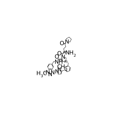 Cn1nccc1-c1cccc(C[C@@H]2C[C@@H](C(=O)NCc3ccc4c(c3)nnn4C)N(C(=O)[C@H](N)CCC(=O)N3CCCC3)C2)c1